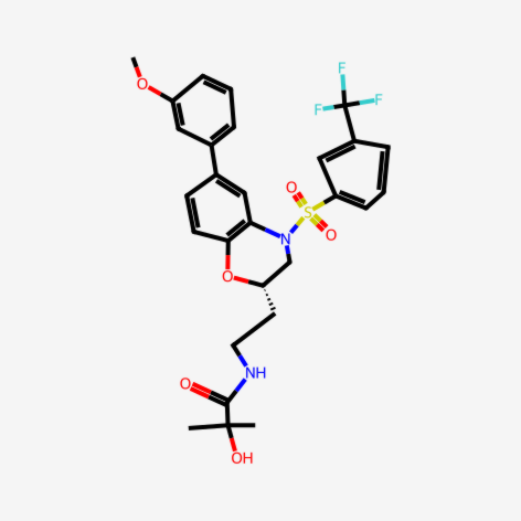 COc1cccc(-c2ccc3c(c2)N(S(=O)(=O)c2cccc(C(F)(F)F)c2)C[C@H](CCNC(=O)C(C)(C)O)O3)c1